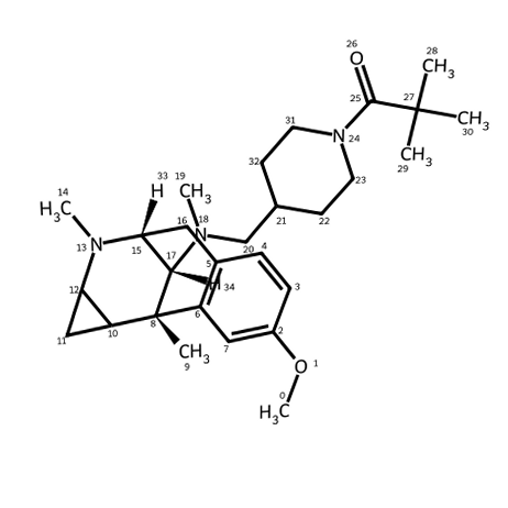 COc1ccc2c(c1)[C@]1(C)C3CC3N(C)[C@H](C2)[C@@H]1N(C)CC1CCN(C(=O)C(C)(C)C)CC1